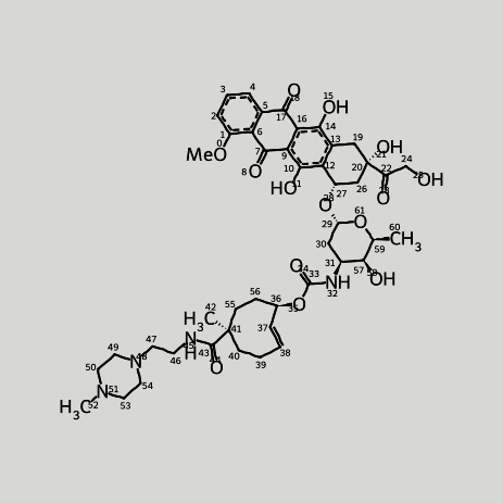 COc1cccc2c1C(=O)c1c(O)c3c(c(O)c1C2=O)C[C@@](O)(C(=O)CO)C[C@@H]3O[C@H]1C[C@H](NC(=O)O[C@H]2/C=C/CC[C@@](C)(C(=O)NCCN3CCN(C)CC3)CC2)[C@H](O)[C@H](C)O1